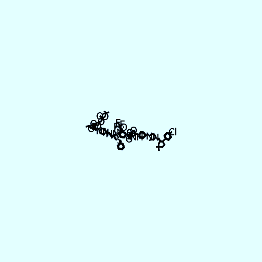 CCOP(=O)(CN1CCN(CC[C@H](CSc2ccccc2)Nc2ccc(S(=O)(=O)NC(=O)c3ccc(N4CCN(CC5=C(c6ccc(Cl)cc6)CCC(C)(C)C5)CC4)cc3)cc2S(=O)(=O)C(F)(F)F)CC1)OCOC(=O)OC(C)C